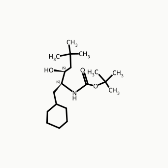 CC(C)(C)C[C@H](O)[C@H](CC1CCCCC1)NC(=O)OC(C)(C)C